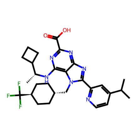 CC(C)c1ccnc(-c2nc3nc(C(=O)O)nc(N[C@H](C)C4CCC4)c3n2C[C@H]2CC[C@H](C(F)(F)F)CC2)c1